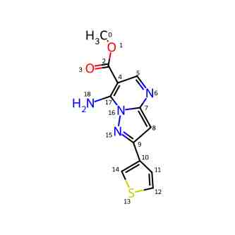 COC(=O)c1cnc2cc(-c3ccsc3)nn2c1N